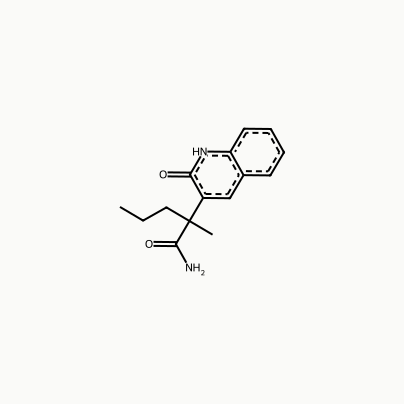 CCCC(C)(C(N)=O)c1cc2ccccc2[nH]c1=O